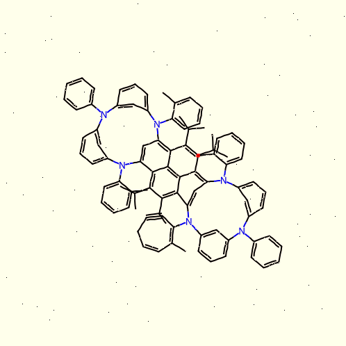 CCc1c(C(C)C)c2c3cc(c4c(C(C)C)c(C(C)C)c5c6cc(c1c5c24)N(C1=C(C)C=CCC#C1)c1cccc(c1)N(c1ccccc1)c1cccc(c1)N6c1ccccc1C)N(c1ccccc1C)c1cccc(c1)N(c1ccccc1)c1cccc(c1)N3c1ccccc1C